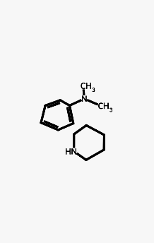 C1CCNCC1.CN(C)c1ccccc1